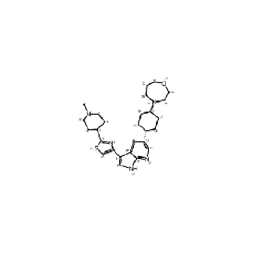 CN1CCC(c2nc(-c3c[nH]c4ncc([C@H]5CC[C@H](N6CCCOCC6)CC5)cc34)cs2)CC1